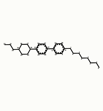 CCCCCCCCc1ccc(-c2ccc(C3CCC(CCC)CC3)cc2)cc1